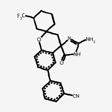 N#Cc1cccc(-c2ccc3c(c2)C2(CC4(CCCC(C(F)(F)F)C4)O3)N=C(N)NC2=O)c1